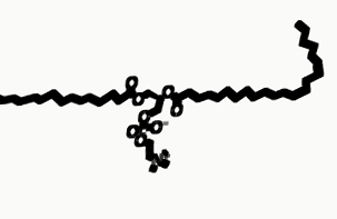 CCCCC/C=C\C/C=C\CCCCCCCCCCCC(=O)O[C@H](COC(=O)CCCCCCCCCCCCCC)COP(=O)([O-])OCC[N+](C)(C)C